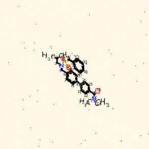 CC(C)CN(Cc1ccc(-c2ccc(C(=O)N(C)C)cc2)cc1)S(=O)(=O)Cc1ccccc1